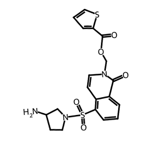 NC1CCN(S(=O)(=O)c2cccc3c(=O)n(COC(=O)c4cccs4)ccc23)C1